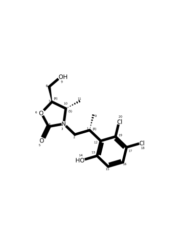 C[C@@H](CN1C(=O)O[C@@H](CO)[C@@H]1C)c1c(O)ccc(Cl)c1Cl